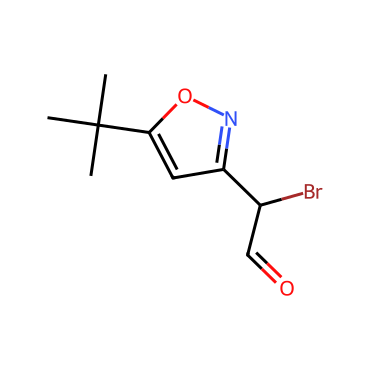 CC(C)(C)c1cc(C(Br)C=O)no1